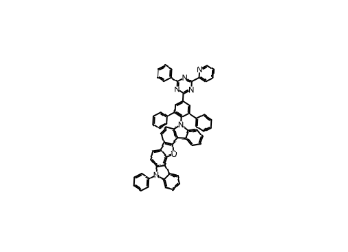 c1ccc(-c2nc(-c3cc(-c4ccccc4)c(-n4c5ccccc5c5c6oc7c(ccc8c7c7ccccc7n8-c7ccccc7)c6ccc54)c(-c4ccccc4)c3)nc(-c3ccccn3)n2)cc1